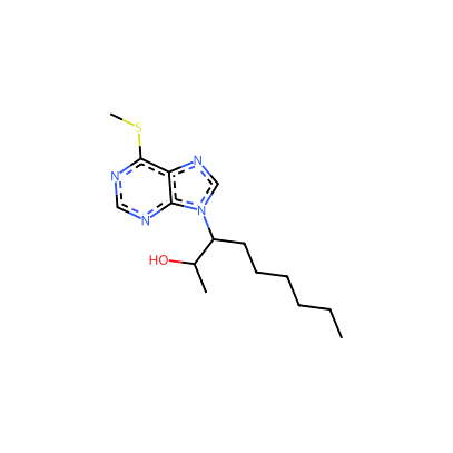 CCCCCCC(C(C)O)n1cnc2c(SC)ncnc21